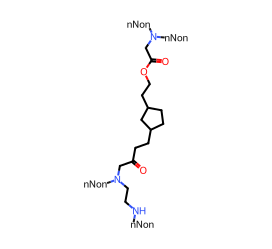 CCCCCCCCCNCCN(CCCCCCCCC)CC(=O)CCC1CCC(CCOC(=O)CN(CCCCCCCCC)CCCCCCCCC)C1